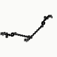 CCOC(=O)C=Cc1ccc(OCCCCCCCCCCCOC(CC)OCCCCCCCCCCCOc2ccc(C=CC(=O)OCC)cc2)cc1